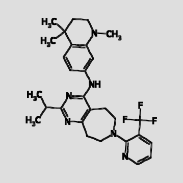 CC(C)c1nc2c(c(Nc3ccc4c(c3)N(C)CCC4(C)C)n1)CCN(c1ncccc1C(F)(F)F)CC2